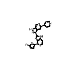 Fc1ccc(-c2nccc3[nH]c(-c4n[nH]c5cnc(-c6ccncc6)cc45)nc23)s1